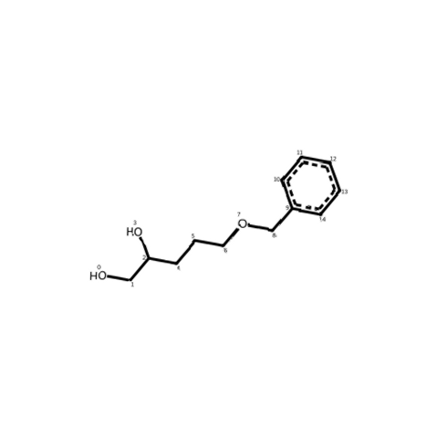 OCC(O)CCCOCc1ccccc1